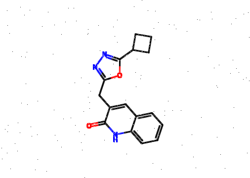 O=c1[nH]c2ccccc2cc1Cc1nnc(C2CCC2)o1